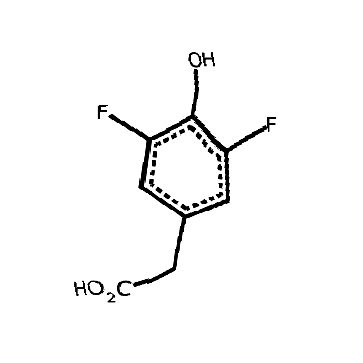 O=C(O)Cc1cc(F)c(O)c(F)c1